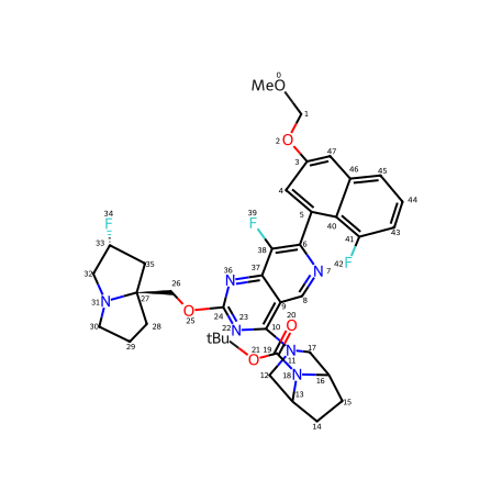 COCOc1cc(-c2ncc3c(N4CC5CCC(C4)N5C(=O)OC(C)(C)C)nc(OC[C@@]45CCCN4C[C@H](F)C5)nc3c2F)c2c(F)cccc2c1